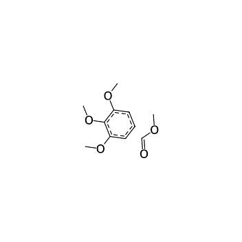 COC=O.COc1cccc(OC)c1OC